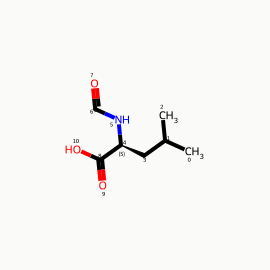 CC(C)C[C@H](N[C]=O)C(=O)O